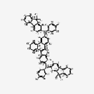 Cc1ccc(N(c2ccc3c(c2)C(C)(C)c2ccccc2-3)c2ccc3c(c2)sc2c4ccc(N(c5ccc(C)cc5)c5ccc6c(c5)C(C)(C)c5ccccc5-6)cc4c4ccccc4c32)cc1